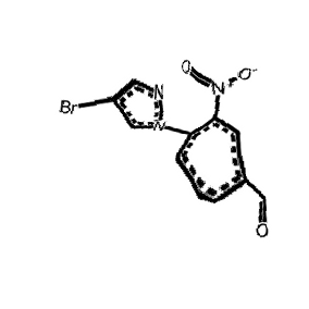 O=Cc1ccc(-n2cc(Br)cn2)c([N+](=O)[O-])c1